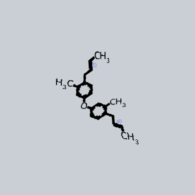 C/C=C/Cc1ccc(Oc2ccc(C/C=C/C)c(C)c2)cc1C